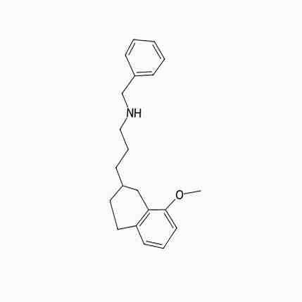 COc1cccc2c1CC(CCCNCc1ccccc1)CC2